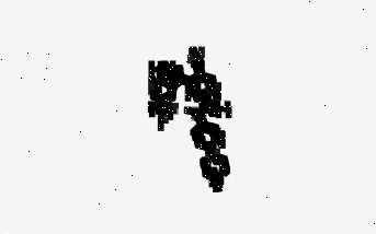 C[C@@H](Nc1ncc(C#N)c(-c2c[nH]c3ncc(C(F)(F)F)cc23)n1)c1ccc(N2CCN(C)CC2)nc1